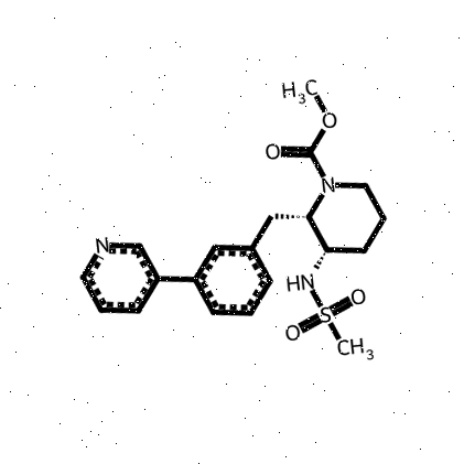 COC(=O)N1CCC[C@H](NS(C)(=O)=O)[C@@H]1Cc1cccc(-c2cccnc2)c1